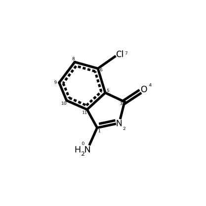 NC1=NC(=O)c2c(Cl)cccc21